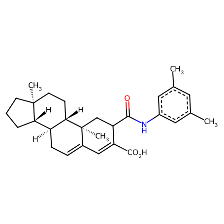 Cc1cc(C)cc(NC(=O)C2C[C@@]3(C)C(=CC[C@H]4[C@@H]5CCC[C@@]5(C)CC[C@@H]43)C=C2C(=O)O)c1